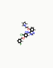 Fc1cccc(COc2ccc(Nc3ncnc4cccc(OCCN5CCCC5)c34)cc2Cl)c1